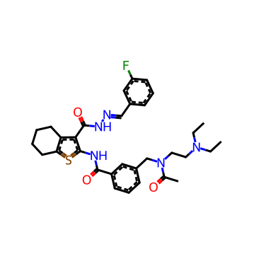 CCN(CC)CCN(Cc1cccc(C(=O)Nc2sc3c(c2C(=O)NN=Cc2cccc(F)c2)CCCC3)c1)C(C)=O